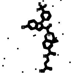 O=C(O)CCNC(=O)c1ccc(C[C@@H](CC2CC2)C(=O)c2cc3cc(Cl)ccc3n2-c2cccc(C(F)(F)F)c2)cc1